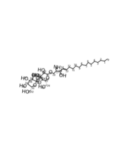 CCCCCCCCCCCCC/C=C/[C@@H](O)C(N)CO[C@@H]1O[C@H](CO)C(OC2(O)O[C@H](CO)[C@H](O)[C@H](O)C2O)[C@H](O)C1O